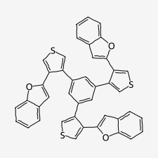 c1ccc2oc(-c3cscc3-c3cc(-c4cscc4-c4cc5ccccc5o4)cc(-c4cscc4-c4cc5ccccc5o4)c3)cc2c1